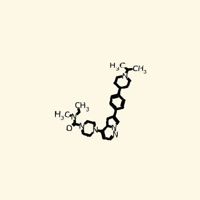 CCN(C)C(=O)N1CCN(C2=CC=NN3C=C(c4ccc(C5CCN(C(C)C)CC5)cc4)CC23)CC1